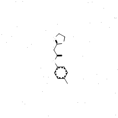 Cc1ccc(NC(=O)CC2=NCCS2)cc1